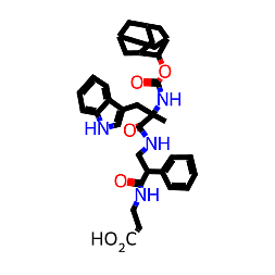 CC(Cc1c[nH]c2ccccc12)(NC(=O)OC1C2CC3CC(C2)CC1C3)C(=O)NCC(C(=O)NCCC(=O)O)c1ccccc1